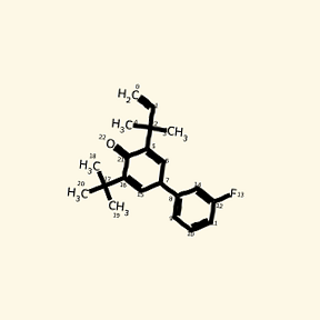 C=CC(C)(C)C1=CC(c2cccc(F)c2)C=C(C(C)(C)C)C1=O